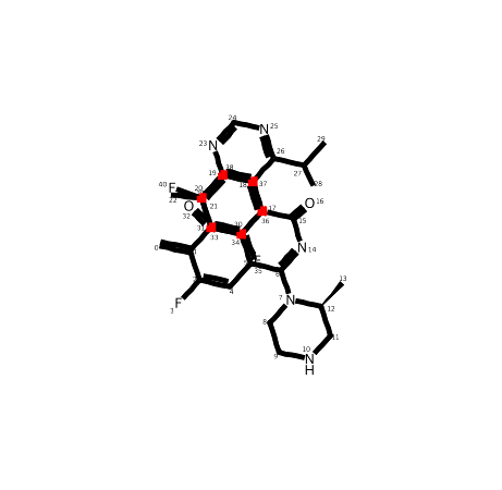 C=C(/C(F)=C\c1c(N2CCNC[C@@H]2C)nc(=O)n(-c2c(C(C)C)ncnc2C(C)C)c1N=O)c1c(F)cccc1F